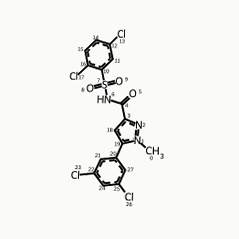 Cn1nc(C(=O)NS(=O)(=O)c2cc(Cl)ccc2Cl)cc1-c1cc(Cl)cc(Cl)c1